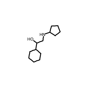 OC(CNC1CCCC1)C1CCCCC1